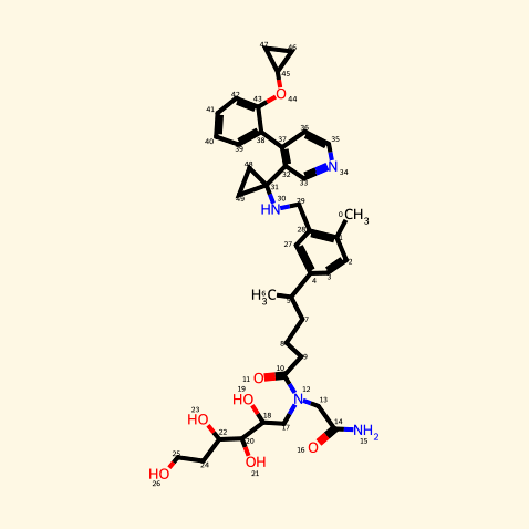 Cc1ccc(C(C)CCCC(=O)N(CC(N)=O)CC(O)C(O)C(O)CCO)cc1CNC1(c2cnccc2-c2ccccc2OC2CC2)CC1